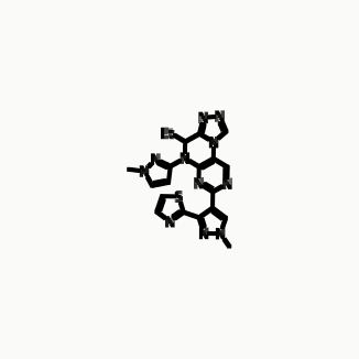 CCC1c2nncn2-c2cnc(-c3cn(C)nc3-c3nccs3)nc2N1c1ccn(C)n1